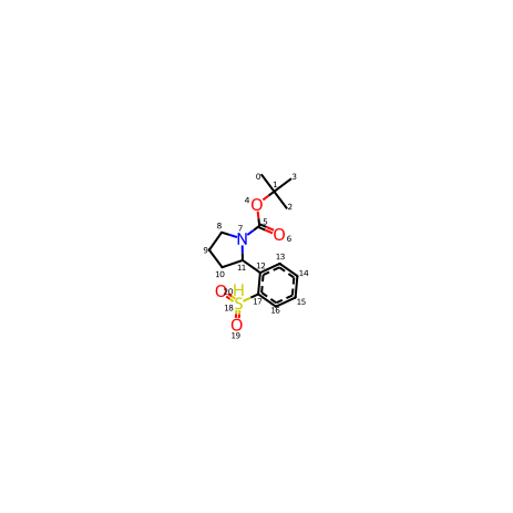 CC(C)(C)OC(=O)N1CCCC1c1ccccc1[SH](=O)=O